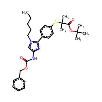 CCCCCn1cc(NC(=O)OCc2ccccc2)nc1-c1ccc(SC(C)(C)C(=O)OC(C)(C)C)cc1